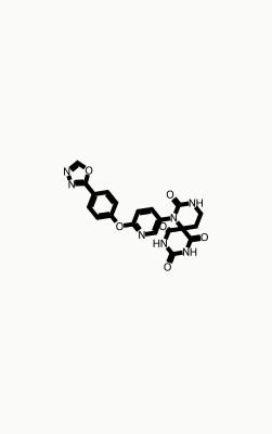 O=C1NC(=O)C2(CCNC(=O)N2c2ccc(Oc3ccc(-c4nnco4)cc3)nc2)C(=O)N1